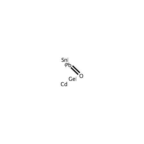 [Cd].[Ge].[O]=[Pb].[Sn]